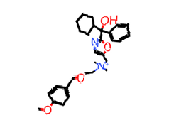 COc1ccc(COCC[N+](C)(C)Cc2cnc(C(O)(c3ccccc3)C3CCCCC3)o2)cc1